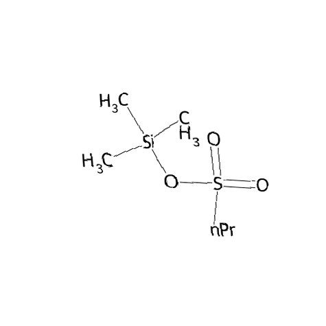 CCCS(=O)(=O)O[Si](C)(C)C